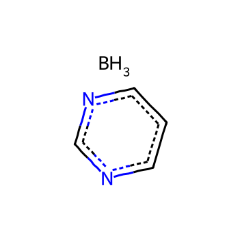 B.c1cncnc1